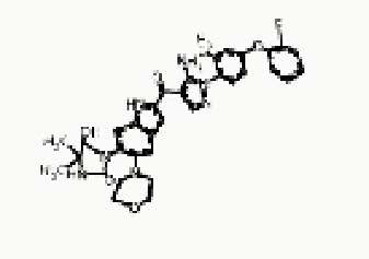 Cc1cc(Oc2ccccc2F)ccc1-n1ncc(C(=O)c2cc3cc(N4CCOCC4)c(N4C(=O)NC(C)(C)C4O)cc3[nH]2)c1N